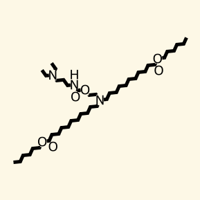 CCCCCCOC(=O)CCCCCCCCCCN(CCCCCCCCCCC(=O)OCCCCCC)CCOC(=O)NCCCN(CC)CC